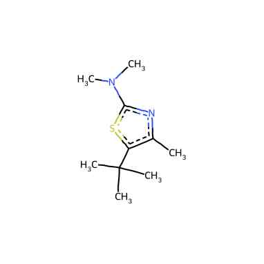 Cc1nc(N(C)C)sc1C(C)(C)C